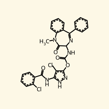 CN1C(=O)C(NC(=O)Oc2n[nH]c(NC(=O)c3ccccc3Cl)c2Cl)N=C(c2ccccc2)c2ccccc21